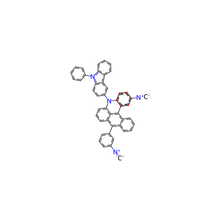 [C-]#[N+]c1cccc(-c2c3ccccc3c(-c3cccc([N+]#[C-])c3)c3c(N(c4ccccc4)c4ccc5c(c4)c4ccccc4n5-c4ccccc4)cccc23)c1